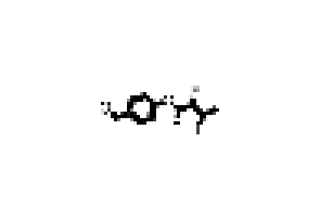 O=Cc1ccc(OC(F)C(F)C(F)F)cc1